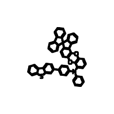 c1ccc(N(c2ccc(-c3ccc4c(c3)sc3ccccc34)cc2)c2cccc3c2Oc2ccc4c(c2O3)-c2ccccc2C42c3ccccc3-c3ccccc32)cc1